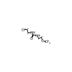 O=C(NCCCl)NCCOC(F)(F)F